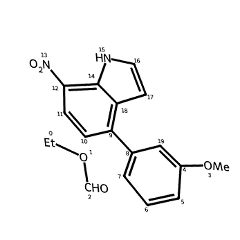 CCOC=O.COc1cccc(-c2ccc([N+](=O)[O-])c3[nH]ccc23)c1